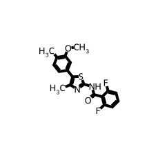 COc1cc(-c2sc(NC(=O)c3c(F)cccc3F)nc2C)ccc1C